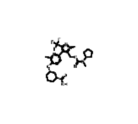 Cc1nc(-c2c(C(F)(F)F)nn(C)c2COC(=O)N(C)C2CCCC2)ccc1O[C@H]1CCC[C@H](C(=O)O)C1